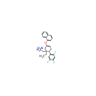 CCC1(CC)[C@H](N)C(Oc2cccc3ccccc23)=CC[C@H]1c1cc(F)c(F)cc1F